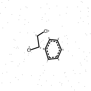 ClCCCl.c1ccccc1